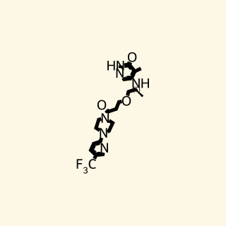 Cc1c(N[C@@H](C)COCCC(=O)N2CCN(c3ccc(C(F)(F)F)cn3)CC2)cn[nH]c1=O